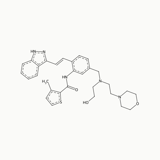 Cc1ccsc1C(=O)Nc1cc(CN(CCO)CCN2CCOCC2)ccc1C=Cc1n[nH]c2ccccc12